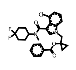 CN(C(=O)c1cn(CC2(OC(=O)c3ccccc3)CC2)c2cccc(Cl)c12)C1CCC(F)(F)CC1